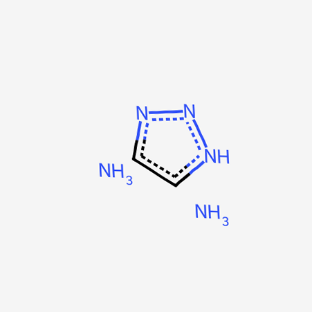 N.N.c1c[nH]nn1